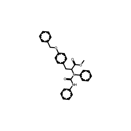 COC(=O)C(Cc1ccc(OCc2ccccc2)cc1)N(C(=O)Nc1ccccc1)c1ccccc1